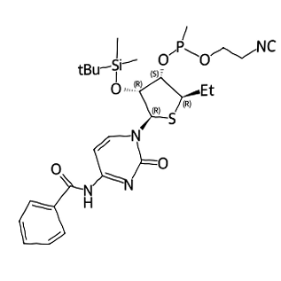 [C-]#[N+]CCOP(C)O[C@H]1[C@@H](O[Si](C)(C)C(C)(C)C)[C@H](n2ccc(NC(=O)c3ccccc3)nc2=O)S[C@@H]1CC